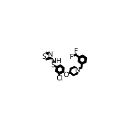 FC(F)c1cccc(CN2CCC(Oc3ccc(SNc4cscn4)cc3Cl)CC2)c1